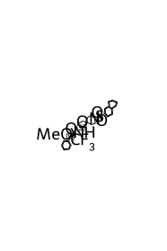 CO[C@@](C(=O)N[C@@H]1COC2(CCN(S(=O)(=O)c3ccc4ccccc4c3)CC2)C1)(c1ccccc1)C(F)(F)F